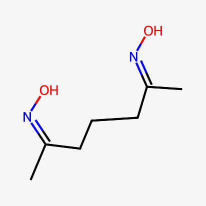 CC(CCCC(C)=NO)=NO